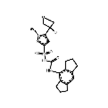 CC(C)n1nc(S(=O)(=O)NC(=O)Nc2c3c(cc4c2CCC4)CCC3)cc1C1(O)COC1